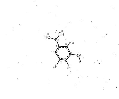 COc1c(F)c(F)cc(B(O)O)c1F